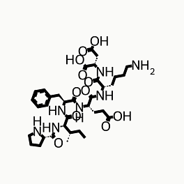 CC[C@H](C)[C@H](NC(=O)[C@@H]1CCCN1)C(=O)N[C@@H](Cc1ccccc1)C(=O)N[C@@H](CCC(=O)O)C(=O)N[C@@H](CCCCN)C(=O)N[C@@H](CC(=O)O)C(=O)O